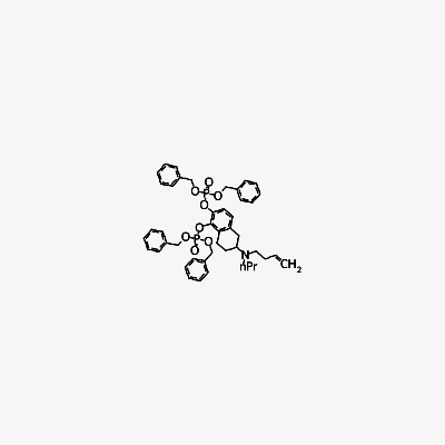 C=CCCN(CCC)C1CCc2c(ccc(OP(=O)(OCc3ccccc3)OCc3ccccc3)c2OP(=O)(OCc2ccccc2)OCc2ccccc2)C1